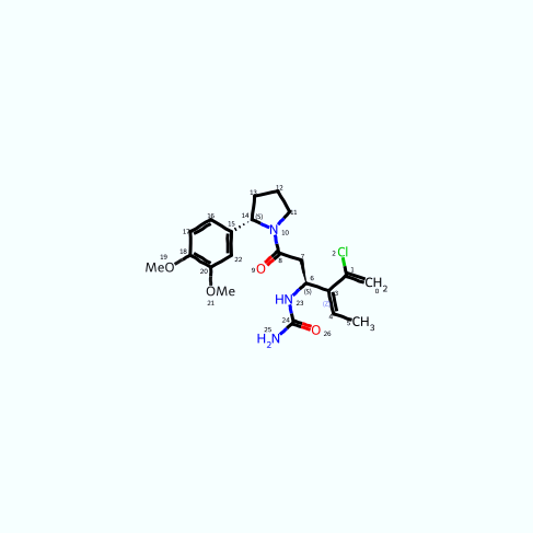 C=C(Cl)/C(=C\C)[C@H](CC(=O)N1CCC[C@H]1c1ccc(OC)c(OC)c1)NC(N)=O